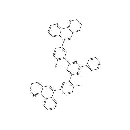 Cc1ccc(-c2cc3c(c4ccccc24)=NCCC=3)cc1-c1nc(-c2ccccc2)nc(-c2cc(-c3cc4c(c5ncccc35)=NCCC=4)ccc2F)n1